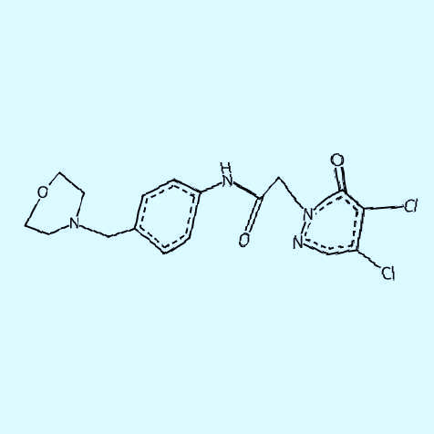 O=C(Cn1ncc(Cl)c(Cl)c1=O)Nc1ccc(CN2CCOCC2)cc1